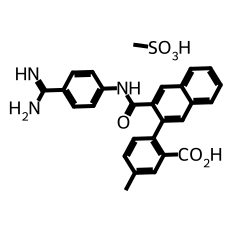 CS(=O)(=O)O.Cc1ccc(-c2cc3ccccc3cc2C(=O)Nc2ccc(C(=N)N)cc2)c(C(=O)O)c1